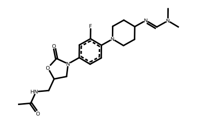 CC(=O)NCC1CN(c2ccc(N3CCC(N=CN(C)C)CC3)c(F)c2)C(=O)O1